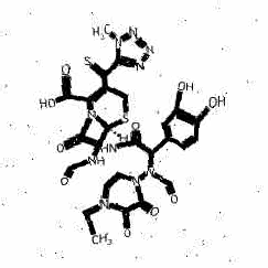 CCN1CCN(N(C=O)C(C(=O)N[C@]2(NC=O)C(=O)N3C(C(=O)O)=C(C(=S)c4nnnn4C)CS[C@H]32)c2ccc(O)c(O)c2)C(=O)C1=O